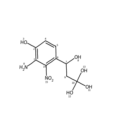 Nc1c(O)ccc(C(O)CC(O)(O)O)c1[N+](=O)[O-]